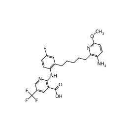 COc1ccc(N)c(CCCCCc2cc(F)ccc2Nc2ncc(C(F)(F)F)cc2C(=O)O)n1